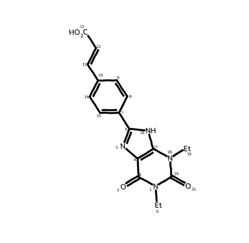 CCn1c(=O)c2nc(-c3ccc(C=CC(=O)O)cc3)[nH]c2n(CC)c1=O